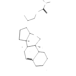 CCN(C)C(=O)OCC(C)[C@H]1CC[C@H]2[C@@H]3CC=C4C[C@@H](O)CC[C@]4(C)[C@H]3CC[C@]12C